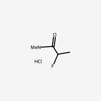 CNC(=O)C(C)F.Cl